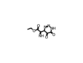 CCOC(=O)C(=N)C1N=NNC(=O)C1=O